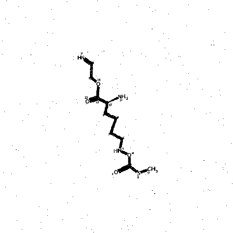 CSC(=O)ONCCCC[C@H](N)C(=O)OCC=N